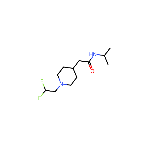 CC(C)NC(=O)CC1CCN(CC(F)F)CC1